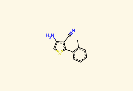 Cc1ccccc1-c1scc(N)c1C#N